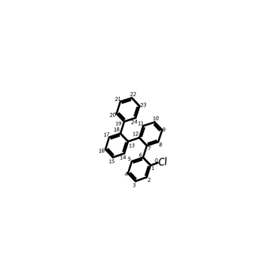 Clc1ccccc1-c1ccccc1-c1ccccc1-c1ccccc1